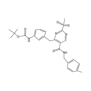 Cc1ccc(CNC(=O)c2cnc(S(C)(=O)=O)nc2Cc2cccc(NC(=O)OC(C)(C)C)c2)cc1